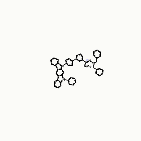 CN/C(=N\N(Cc1ccccc1)Cc1ccccc1)c1cccc(-c2ccc(-n3c4ccccc4c4cc5c6ccccc6n(-c6ccccc6)c5cc43)cc2)c1